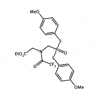 CCOC(=O)CN(CP(=O)(Sc1ccc(OC)cc1)Sc1ccc(OC)cc1)C(=O)C(F)(F)F